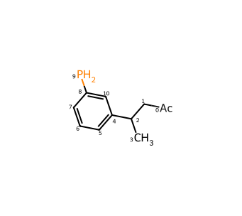 CC(=O)CC(C)c1cccc(P)c1